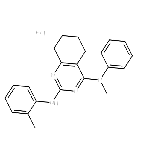 Cc1ccccc1Nc1nc2c(c(N(C)c3ccccc3)n1)CCCC2.Cl